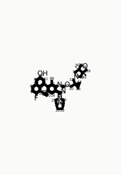 C#Cc1c(F)ccc2cc(O)cc(-c3c(Cl)cc4c(N5CC6CCC(C5)N6)nc(OCC5(CN6C[C@@]7(C)COC[C@]7(C)C6)CC5)nc4c3C)c12